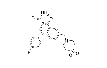 NC(=O)c1cn(-c2ccc(F)cc2)c2ccc(CN3CCS(=O)(=O)CC3)cc2c1=O